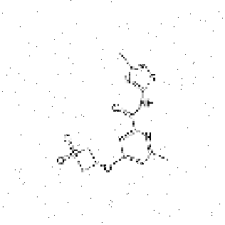 Cc1cc(OC2CS(=O)(=O)C2)cc(C(=O)Nc2nc(C)cs2)n1